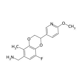 COc1ccc(C2COc3c(C)c(CN)cc(F)c3O2)cn1